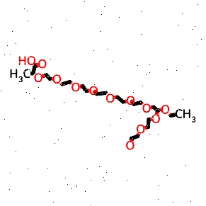 CCOC(COCCOCCOCCOCCOCCOCCOC(C)C(=O)O)OCCOCC=O